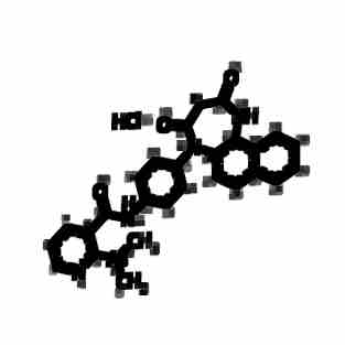 C[As](C)c1ncccc1C(=O)Nc1ccc(N2C(=O)CC(=O)Nc3c2ccc2ccccc32)cc1.Cl